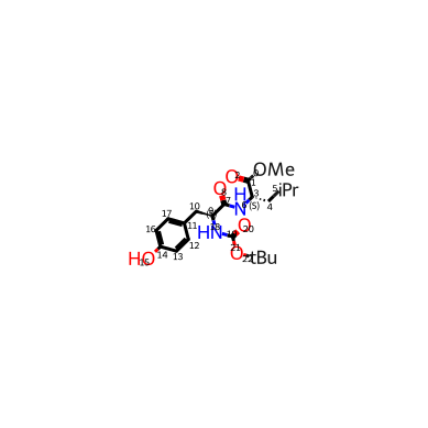 COC(=O)[C@H](CC(C)C)NC(=O)[C@H](Cc1ccc(O)cc1)NC(=O)OC(C)(C)C